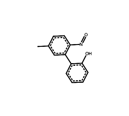 Cc1ccc(N=O)c(-c2ccccc2O)c1